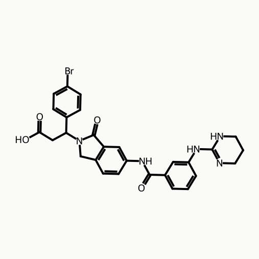 O=C(O)CC(c1ccc(Br)cc1)N1Cc2ccc(NC(=O)c3cccc(NC4=NCCCN4)c3)cc2C1=O